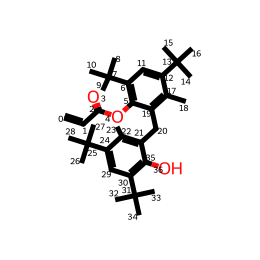 C=CC(=O)Oc1c(C(C)(C)C)cc(C(C)(C)C)c(C)c1Cc1c(C)c(C(C)(C)C)cc(C(C)(C)C)c1O